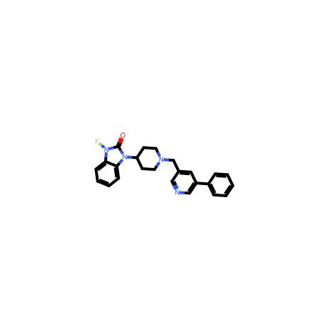 O=c1n(F)c2ccccc2n1C1CCN(Cc2cncc(-c3ccccc3)c2)CC1